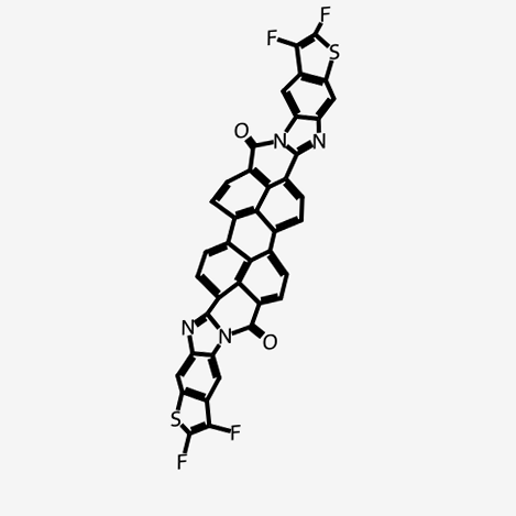 O=c1c2ccc3c4ccc5c6c(ccc(c7ccc(c2c37)c2nc3cc7sc(F)c(F)c7cc3n12)c46)c(=O)n1c2cc3c(F)c(F)sc3cc2nc51